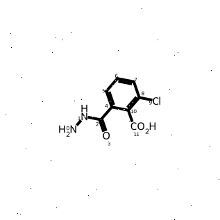 NNC(=O)c1cccc(Cl)c1C(=O)O